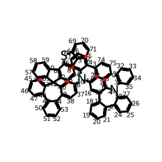 c1ccc(-c2ccccc2N(c2ccc3c(c2)-c2ccccc2-c2ccccc2N3c2ccccc2)c2ccc3c(c2)C2(c4ccccc4-c4ccccc4-3)c3ccccc3-c3c2ccc2c3sc3ccccc32)cc1